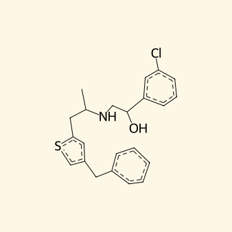 CC(Cc1cc(Cc2ccccc2)cs1)NCC(O)c1cccc(Cl)c1